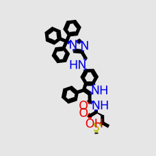 CSC(C)C[C@H](NC(=O)c1[nH]c2ccc(NCc3cn(C(c4ccccc4)(c4ccccc4)c4ccccc4)cn3)cc2c1-c1ccccc1)C(=O)O